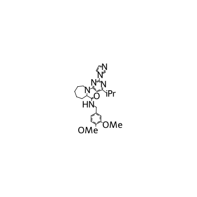 COc1ccc(CNC(=O)C2CCCCCN2c2cc(C(C)C)nc(-n3ccnc3)n2)cc1OC